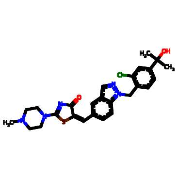 CN1CCN(C2=NC(=O)C(=Cc3ccc4c(cnn4Cc4ccc(C(C)(C)O)cc4Cl)c3)S2)CC1